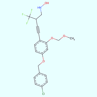 COCOc1cc(OCc2ccc(Cl)cc2)ccc1C#CC(CNO)C(F)(F)F